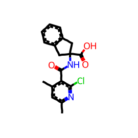 Cc1cc(C)c(C(=O)NC2(C(=O)O)Cc3ccccc3C2)c(Cl)n1